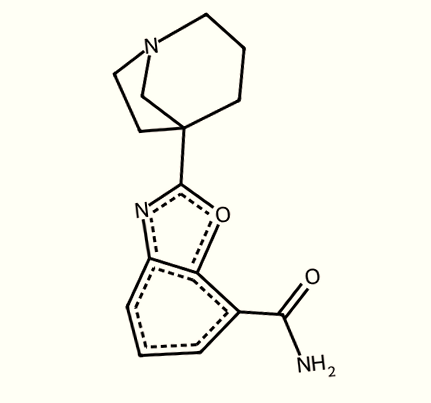 NC(=O)c1cccc2nc(C34CCCN(CC3)C4)oc12